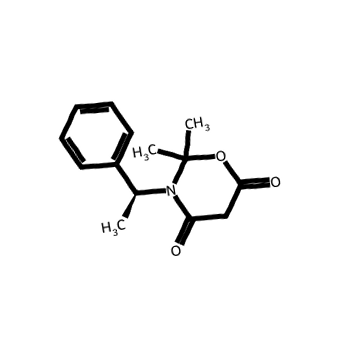 C[C@@H](c1ccccc1)N1C(=O)CC(=O)OC1(C)C